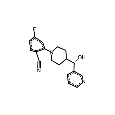 N#Cc1ccc(F)cc1N1CCC([C@H](O)c2cccnc2)CC1